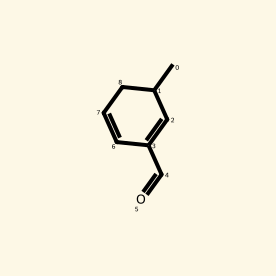 CC1C=C(C=O)C=CC1